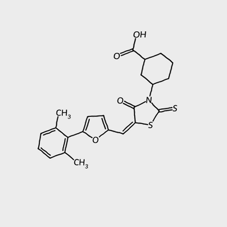 Cc1cccc(C)c1-c1ccc(/C=C2/SC(=S)N(C3CCCC(C(=O)O)C3)C2=O)o1